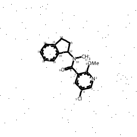 COc1ncc(Cl)cc1C(=O)N(C)C1CCc2ccccc21